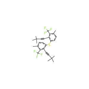 Cc1ccc(Sc2ccc(C)c(C(F)(F)F)c2C#CC(C)(C)C)c(C#CC(C)(C)C)c1C(F)(F)F